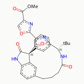 COC(=O)c1coc(-c2nc3oc2[C@@]2(c4ccccc4)C(=O)Nc4ccc(cc42)CCCC(=O)N[C@H]3C(C)(C)C)n1